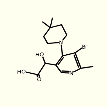 Cc1ncc(C(O)C(=O)O)c(N2CCC(C)(C)CC2)c1Br